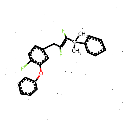 C[Si](C)(/C(F)=C(\F)Cc1ccc(F)c(Oc2ccccc2)c1)c1ccccc1